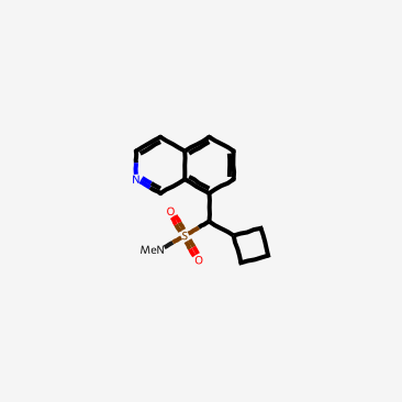 CNS(=O)(=O)C(c1cccc2ccncc12)C1CCC1